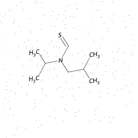 CC(C)CN(C=S)C(C)C